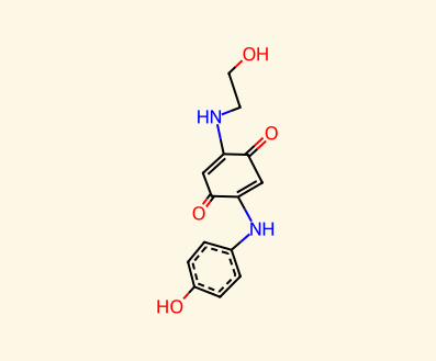 O=C1C=C(Nc2ccc(O)cc2)C(=O)C=C1NCCO